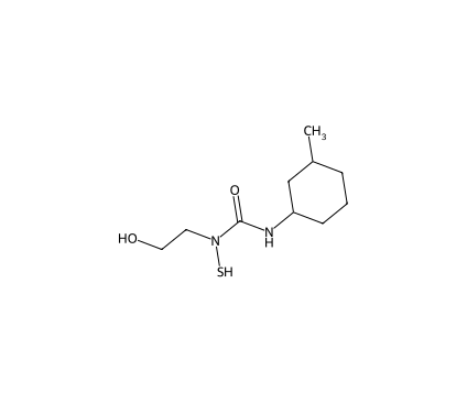 CC1CCCC(NC(=O)N(S)CCO)C1